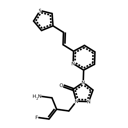 NC/C(=C\F)Cn1ncn(-c2cccc(/C=C/c3ccsc3)n2)c1=O